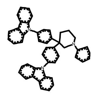 c1ccc(N2CCCC(c3ccc(-n4c5ccccc5c5ccccc54)cc3)(c3ccc(-n4c5ccccc5c5ccccc54)cc3)C2)cc1